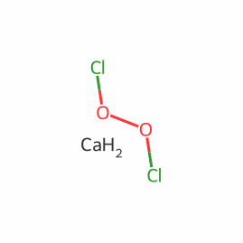 ClOOCl.[CaH2]